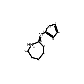 c1csc(N=C2CCCCCN2)c1